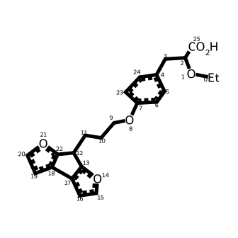 CCOC(Cc1ccc(OCCCC2c3occc3-c3ccoc32)cc1)C(=O)O